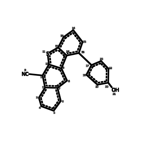 N#Cc1c2ccccc2cc2c1sc1cccc(-c3ccc(O)cc3)c12